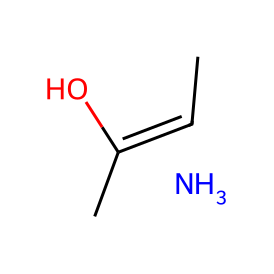 CC=C(C)O.N